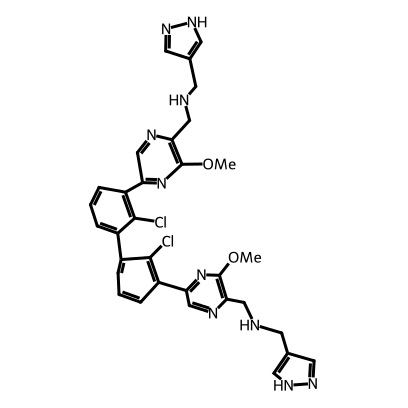 COc1nc(-c2cccc(-c3cccc(-c4cnc(CNCc5cn[nH]c5)c(OC)n4)c3Cl)c2Cl)cnc1CNCc1cn[nH]c1